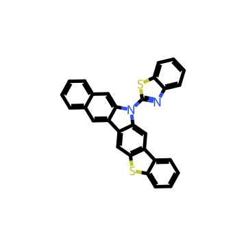 c1ccc2cc3c(cc2c1)c1cc2sc4ccccc4c2cc1n3-c1nc2ccccc2s1